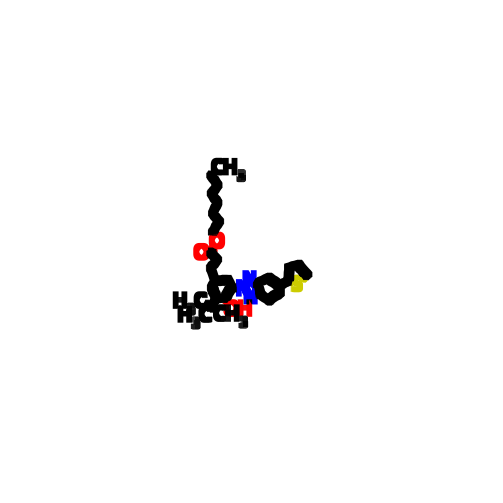 CCCCCCCCOC(=O)CCc1cc(-n2nc3ccc(-c4cccs4)cc3n2)c(O)c(C(C)(C)C)c1